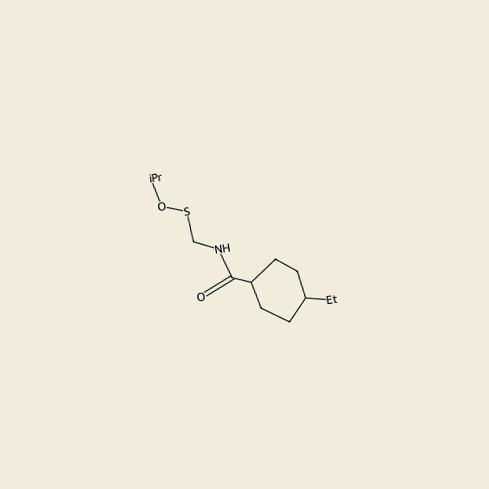 CCC1CCC(C(=O)NCSOC(C)C)CC1